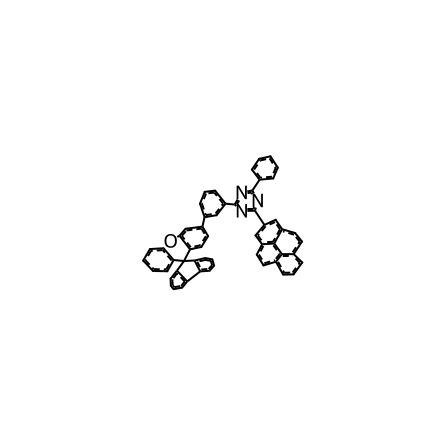 c1ccc(-c2nc(-c3cccc(-c4ccc5c(c4)Oc4ccccc4C54c5ccccc5-c5ccccc54)c3)nc(-c3cc4ccc5cccc6ccc(c3)c4c56)n2)cc1